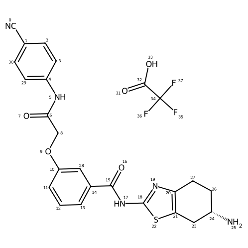 N#Cc1ccc(NC(=O)COc2cccc(C(=O)Nc3nc4c(s3)C[C@@H](N)CC4)c2)cc1.O=C(O)C(F)(F)F